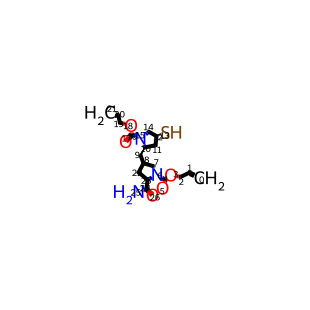 C=CCOC(=O)N1CC(C[C@@H]2C[C@H](S)CN2C(=O)OCC=C)CC1C(N)=O